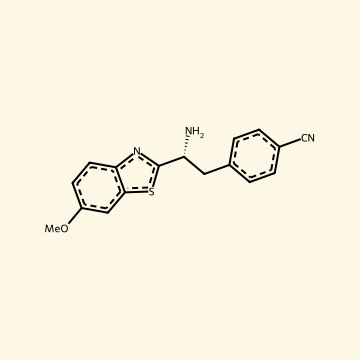 COc1ccc2nc([C@H](N)Cc3ccc(C#N)cc3)sc2c1